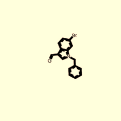 O=Cc1cn(Cc2ccccc2)c2cc(Br)ccc12